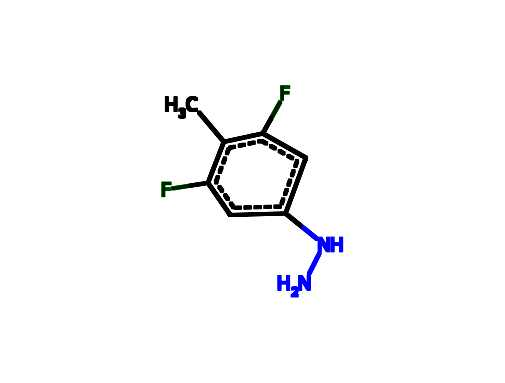 Cc1c(F)cc(NN)cc1F